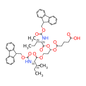 CC[C@H](C)[C@H](NC(=O)OCC1c2ccccc2-c2ccccc21)C(=O)OCCC(OC(=O)CCCC(=O)O)OC(=O)[C@@H](NC(=O)OCC1c2ccccc2-c2ccccc21)[C@@H](C)CC